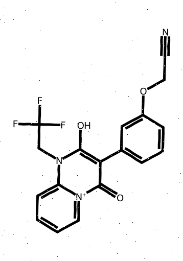 N#CCOc1cccc(-c2c(O)n(CC(F)(F)F)c3cccc[n+]3c2=O)c1